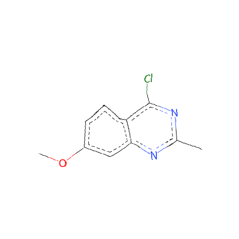 COc1ccc2c(Cl)nc(C)nc2c1